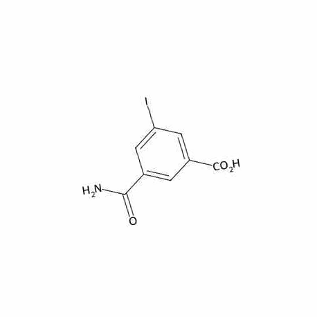 NC(=O)c1cc(I)cc(C(=O)O)c1